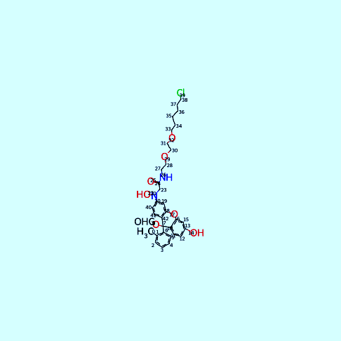 Cc1ccccc1C1(OC=O)c2ccc(O)cc2Oc2cc(N(O)CC(=O)NCCOCCOCCCCCCCl)ccc21